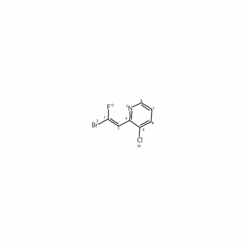 F/C(Br)=C\c1ncccc1Cl